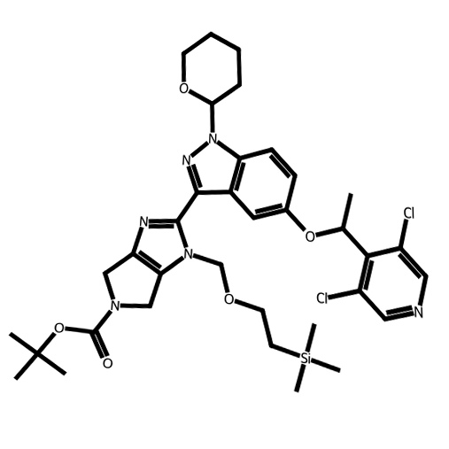 CC(Oc1ccc2c(c1)c(-c1nc3c(n1COCC[Si](C)(C)C)CN(C(=O)OC(C)(C)C)C3)nn2C1CCCCO1)c1c(Cl)cncc1Cl